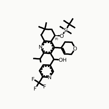 CC(C)c1nc2c(c(C3=CCOCC3)c1C(O)c1ccc(C(F)(F)F)nc1)[C@H](O[Si](C)(C)C(C)(C)C)CC(C)(C)C2